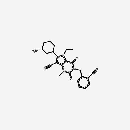 CCn1c(N2CCC[C@@H](N)C2)c(C#N)c2c1c(=O)n(Cc1ccccc1C#N)c(=O)n2C